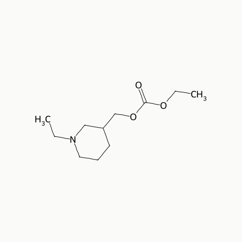 CCOC(=O)OCC1CCCN(CC)C1